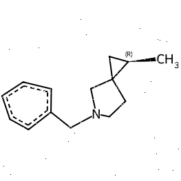 C[C@@H]1CC12CCN(Cc1ccccc1)C2